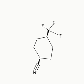 N#C[C@H]1CC[C@@H](C(F)(F)F)CC1